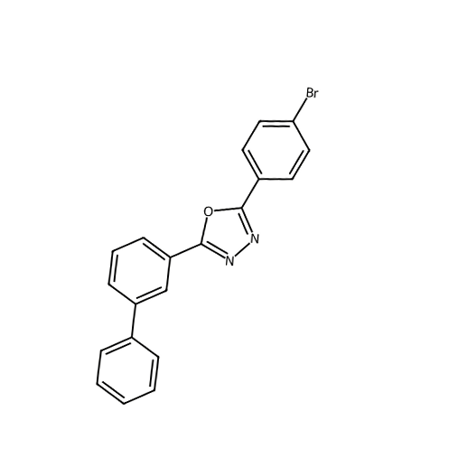 Brc1ccc(-c2nnc(-c3cccc(-c4ccccc4)c3)o2)cc1